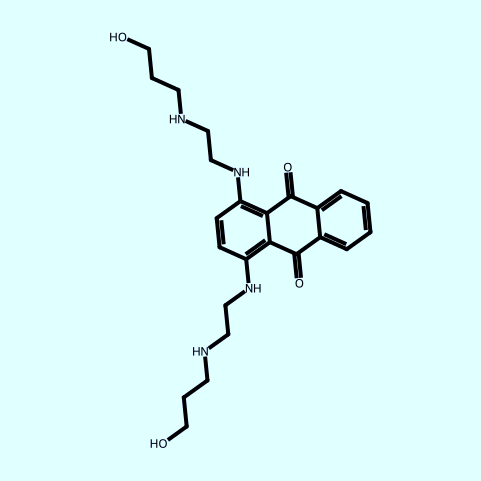 O=C1c2ccccc2C(=O)c2c(NCCNCCCO)ccc(NCCNCCCO)c21